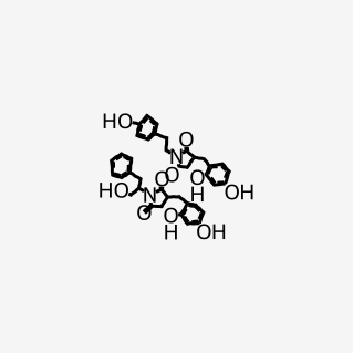 O=C1CC(Cc2ccc(O)cc2O)C(=O)N1C(CO)Cc1ccccc1.O=C1CC(Cc2ccc(O)cc2O)C(=O)N1CCc1ccc(O)cc1